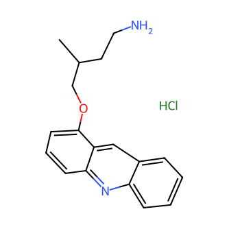 CC(CCN)COc1cccc2nc3ccccc3cc12.Cl